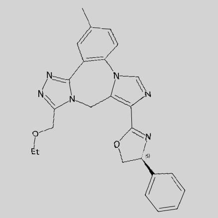 CCOCc1nnc2n1Cc1c(C3=N[C@@H](c4ccccc4)CO3)ncn1-c1ccc(C)cc1-2